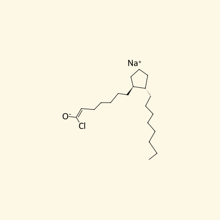 CCCCCCCC[C@H]1CCC[C@@H]1CCCCCC=C([O-])Cl.[Na+]